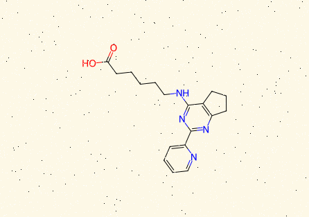 O=C(O)CCCCCNc1nc(-c2ccccn2)nc2c1CCC2